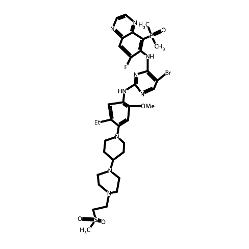 CCc1cc(Nc2ncc(Br)c(Nc3c(F)cc4nccnc4c3P(C)(C)=O)n2)c(OC)cc1N1CCC(N2CCN(CCS(C)(=O)=O)CC2)CC1